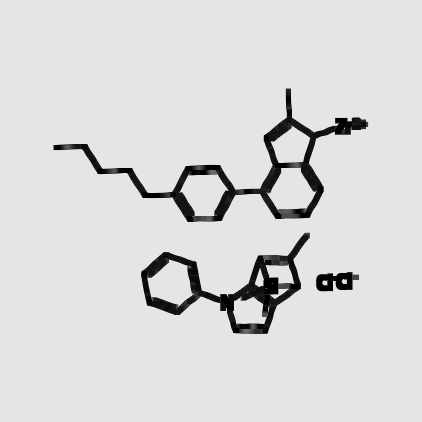 CC1=C2c3c(ccn3-c3ccccc3)C1[Si]2(C)C.CCCCCc1ccc(-c2cccc3c2C=C(C)[CH]3[Zr+2])cc1.[Cl-].[Cl-]